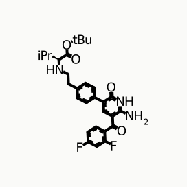 CC(C)[C@H](NCCc1ccc(-c2cc(C(=O)c3ccc(F)cc3F)c(N)[nH]c2=O)cc1)C(=O)OC(C)(C)C